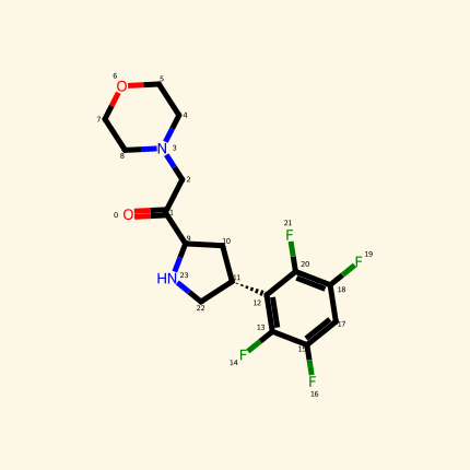 O=C(CN1CCOCC1)C1C[C@H](c2c(F)c(F)cc(F)c2F)CN1